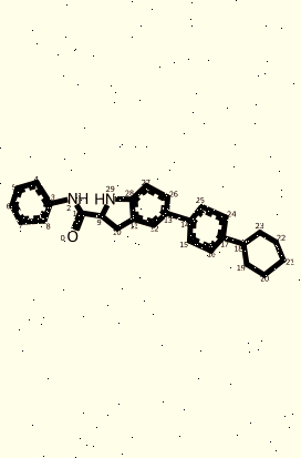 O=C(Nc1ccccc1)C1Cc2cc(-c3ccc(C4CCCCC4)cc3)ccc2N1